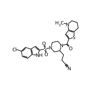 CN1CCCc2sc(C(=O)N3CCN(S(=O)(=O)c4cc5cc(Cl)ccc5[nH]4)CC3CCC#N)cc21